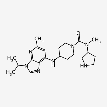 Cc1cc(NC2CCN(C(=O)N(C)[C@H]3CCNC3)CC2)c2ncn(C(C)C)c2n1